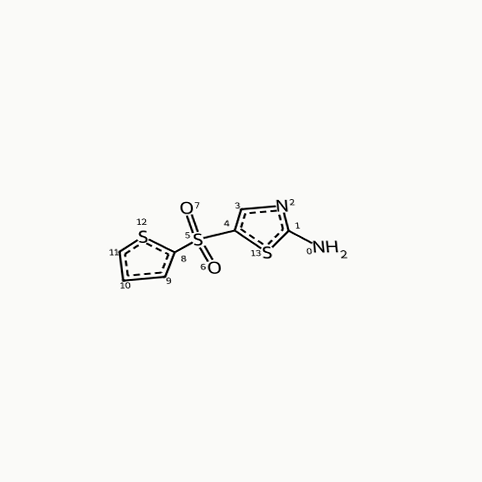 Nc1ncc(S(=O)(=O)c2cccs2)s1